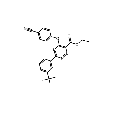 CCOC(=O)c1nnc(-c2cccc(C(C)(C)C)c2)nc1Oc1ccc(C#N)cc1